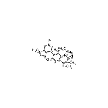 Cc1c(-c2cc(F)cc3c2ccn3C)c(Cl)cc2c1-n1c(C)nnc1C(C)(C)N2